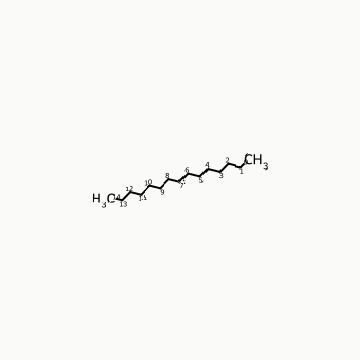 CCCCCCC[C]CCCCCCC